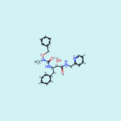 CN(OCc1ccccc1)C(=O)N[C@H](Cc1ccccc1)[C@H](O)C(=O)NCc1ccccn1